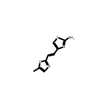 Cc1cnc(C=Cc2csc(N)n2)o1